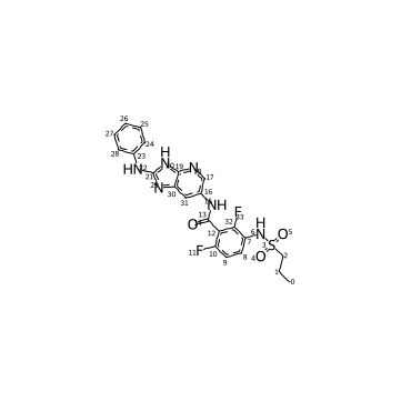 CCCS(=O)(=O)Nc1ccc(F)c(C(=O)Nc2cnc3[nH]c(Nc4ccccc4)nc3c2)c1F